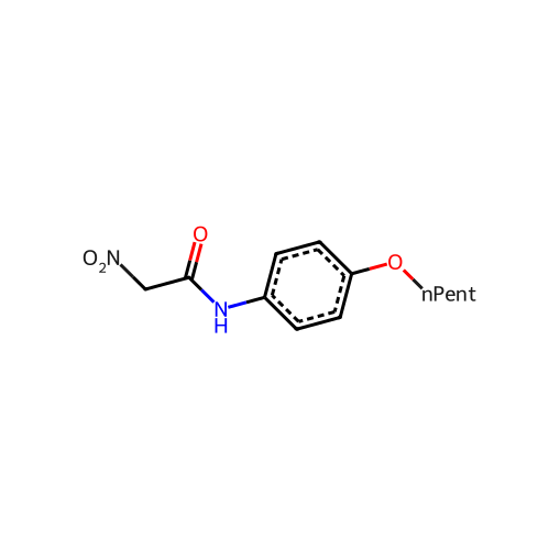 CCCCCOc1ccc(NC(=O)C[N+](=O)[O-])cc1